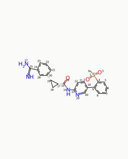 CS(=O)(=O)c1ccccc1-c1ccc(NC(=O)[C@@H]2C[C@@H]2c2cccc(C(=N)N)c2)nc1